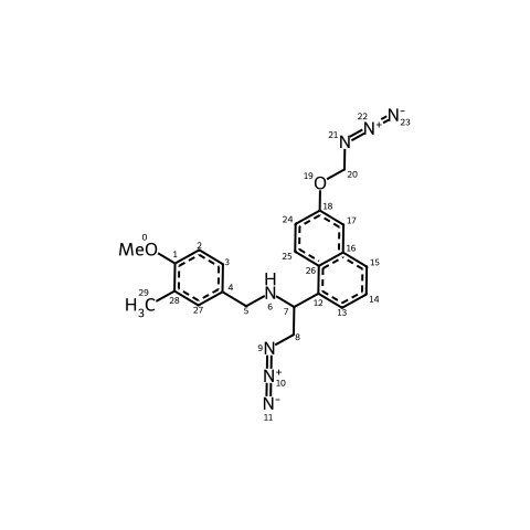 COc1ccc(CNC(CN=[N+]=[N-])c2cccc3cc(OCN=[N+]=[N-])ccc23)cc1C